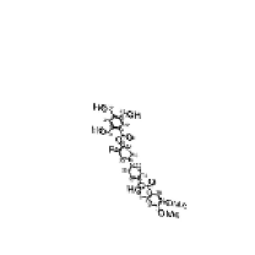 COc1cc(CO)c(C(=O)Oc2ccc(-c3ccc(OC(=O)c4cc(CO)c(CO)cc4CO)c(F)c3)cc2)cc1OC